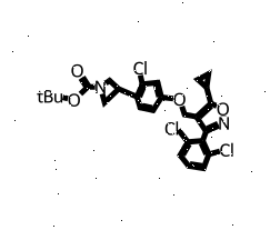 CC(C)(C)OC(=O)N1CC(c2ccc(OCc3c(-c4c(Cl)cccc4Cl)noc3C3CC3)cc2Cl)C1